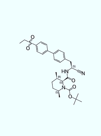 CCS(=O)(=O)c1ccc(-c2ccc(C[C@@H](C#N)NC(=O)[C@@H]3[C@H](C)CC[C@H](C)N3C(=O)OC(C)(C)C)cc2)cc1